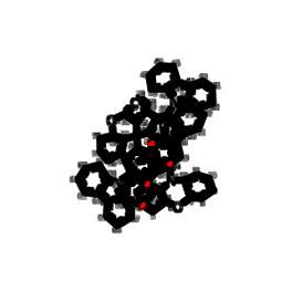 c1ccc2c(c1)Oc1ccccc1N2c1ccc2c(c1)c1ccccc1n2-c1cccc2c1C1(c3cc(-n4c5ccccc5c5ccccc54)cnc3-c3ncc(-n4c5ccccc5c5ccccc54)cc31)c1c(cccc1-n1c3ccccc3c3ccccc31)O2